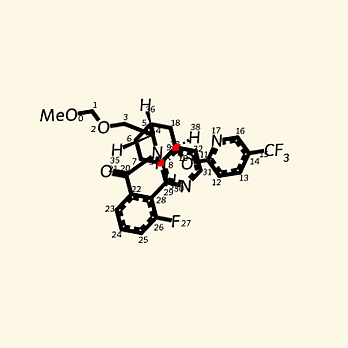 COCOC[C@@H]1[C@@H]2CC[C@@H]([C@H](Oc3ccc(C(F)(F)F)cn3)C2)N1C(=O)c1cccc(F)c1-c1ncccn1